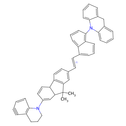 CC1(C)c2cc(/C=C/c3cccc4c(N5c6ccccc6Cc6ccccc65)cccc34)ccc2C2C=CC(N3CCCc4c#cccc43)=CC21